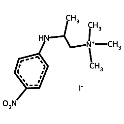 CC(C[N+](C)(C)C)Nc1ccc([N+](=O)[O-])cc1.[I-]